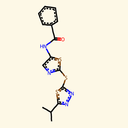 CC(C)c1nnc(Sc2ncc(NC(=O)c3ccccc3)s2)s1